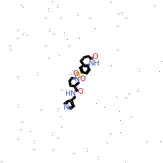 O=C1CCCc2cc(S(=O)(=O)N3CCCC(C(=O)NCc4ccncc4)C3)ccc2N1